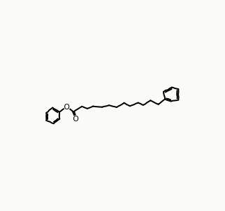 O=C(CCCCCCCCCCCCc1ccccc1)Oc1ccccc1